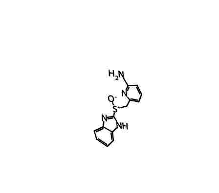 Nc1cccc(C[S+]([O-])c2nc3ccccc3[nH]2)n1